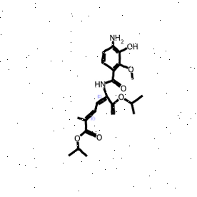 C=C(OC(C)C)/C(=C\C=C(/C)C(=O)OC(C)C)NC(=O)c1ccc(N)c(O)c1OC